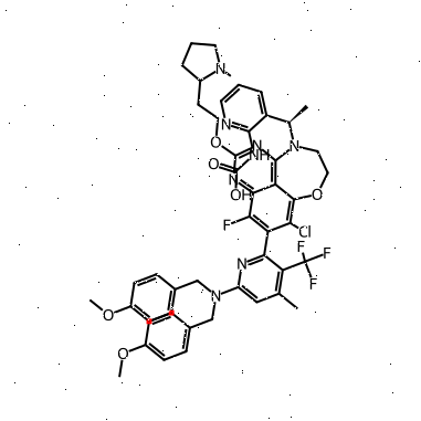 COc1ccc(CN(Cc2ccc(OC)cc2)c2cc(C)c(C(F)(F)F)c(-c3c(Cl)c4c5c(nc(OCCC6CCCN6C)nc5c3F)N([C@H](C)c3cccnc3NC(=O)O)CCO4)n2)cc1